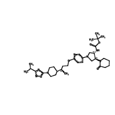 CC(C)c1noc(N2CCC([C@H](C)CCOc3ccc(N4C[C@H](NC(=O)OC(C)(C)C)[C@@H](N5CCCCC5=O)C4)cn3)CC2)n1